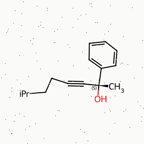 CC(C)CCC#C[C@@](C)(O)c1ccccc1